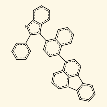 c1ccc(-c2nc3ccccc3n2-c2ccc(-c3ccc4c5c(cccc35)-c3ccccc3-4)c3ccccc23)cc1